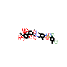 COc1cc(O)c2c(c1C(=O)NCc1c(C)cc(NS(=O)(=O)c3cc(C)c(Cl)cc3Cl)cc1C)OC1=CC(O)=C(C(C)=O)C(=O)[C@]12C